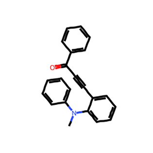 CN(c1ccccc1)c1ccccc1C#CC(=O)c1ccccc1